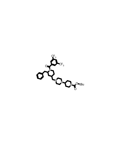 CC(C)(C)OC(=O)N1CCC(N2CCN(CC3CCN(C(=O)c4cc(C(F)(F)F)cc(C(F)(F)F)c4)C(Cc4ccccc4)C3)CC2)CC1